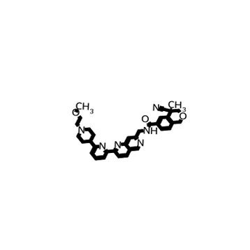 COCCN1CCC(c2cccc(-c3ccc4cnc(CNC(=O)c5ccc6c(c5)[C@](C)(C#N)COC6)cc4n3)n2)CC1